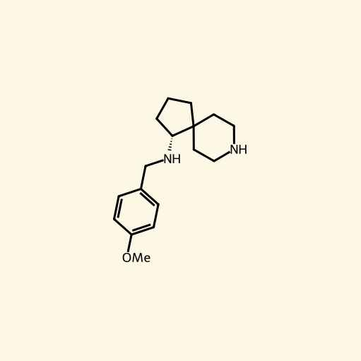 COc1ccc(CN[C@@H]2CCCC23CCNCC3)cc1